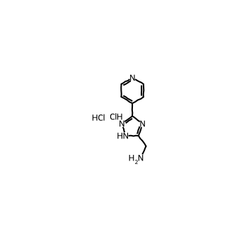 Cl.Cl.NCc1nc(-c2ccncc2)n[nH]1